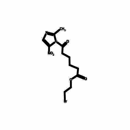 Cc1ncc([N+](=O)[O-])n1C(=O)CCCCC(=O)OCCBr